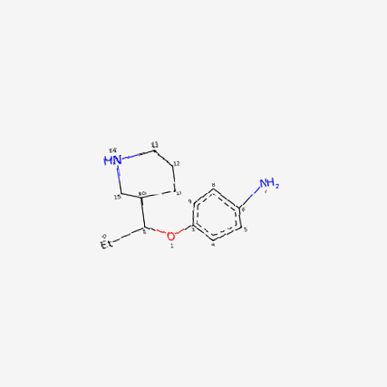 CCC(Oc1ccc(N)cc1)C1CCCNC1